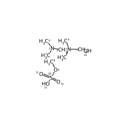 CN(C)C.CN(C)C.COS(=O)(=O)O.Cl